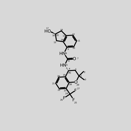 CC1(C)C[C@@H](NC(=O)Nc2cccc3c2C[C@@H](O)C3)c2cccc(C(F)(F)F)c2O1